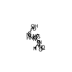 CCS(=O)(=O)N1CC(CC#N)(n2cc(-c3nc(Nc4cnn(CCCC(=O)O)c4)nc4ccsc34)cn2)C1